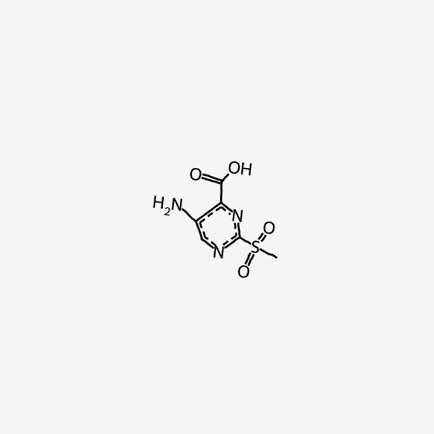 CS(=O)(=O)c1ncc(N)c(C(=O)O)n1